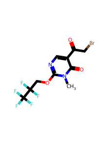 Cn1c(OCC(F)(F)C(F)(F)F)ncc(C(=O)CBr)c1=O